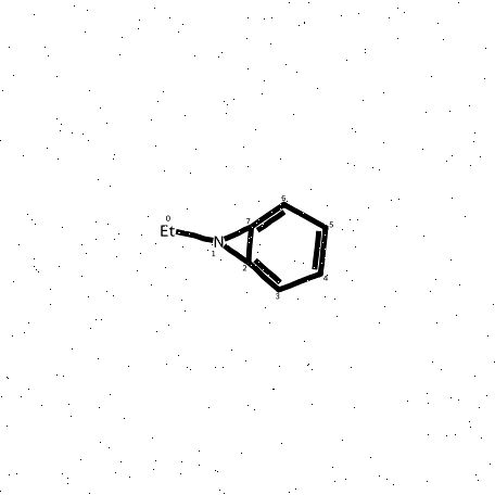 CCN1c2ccccc21